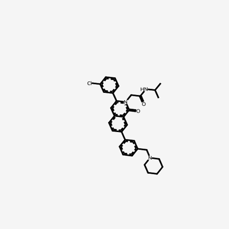 CC(C)NC(=O)Cn1c(-c2cccc(Cl)c2)cc2ccc(-c3cccc(CN4CCCCC4)c3)cc2c1=O